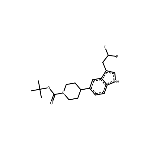 CC(C)(C)OC(=O)N1CCC(c2ccc3[nH]cc(CC(F)F)c3c2)CC1